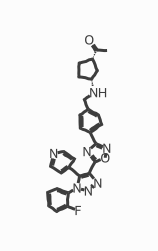 CC(=O)[C@H]1CC[C@@H](NCc2ccc(-c3noc(-c4nnn(-c5ccccc5F)c4-c4ccncc4)n3)cc2)C1